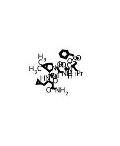 CC(C)CC(C)(CS(=O)(=O)Cc1ccccc1)NC(=O)N[C@H](C(=O)N1CC2C([C@H]1C(=O)NC(CC1CC1)C(=O)C(N)=O)C2(C)C)C(C)(C)C